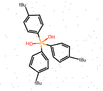 CC(C)(C)c1ccc(P(O)(O)(c2ccc(C(C)(C)C)cc2)c2ccc(C(C)(C)C)cc2)cc1